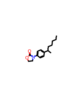 CCCCCC(C)c1ccc(N2CCOC2=O)cc1